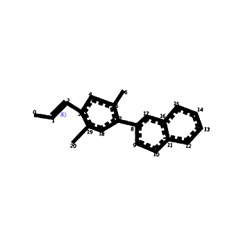 C/C=C/c1cc(C)c(-c2ccc3ccccc3c2)cc1C